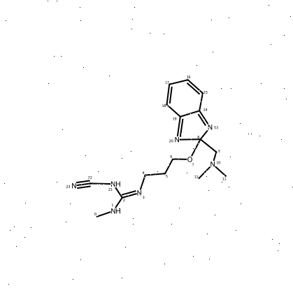 CNC(=NCCCOC1(CN(C)C)N=c2ccccc2=N1)NC#N